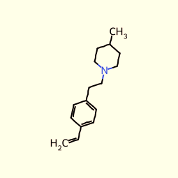 C=Cc1ccc(CCN2CCC(C)CC2)cc1